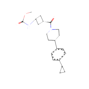 O=C1N[C@]2(CO1)C[C@H](C(=O)N1CCC(c3ccc(C4CC4)cc3)CC1)C2